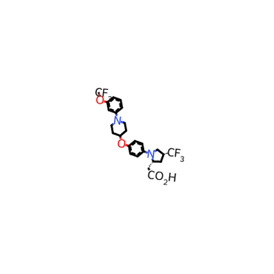 O=C(O)C[C@H]1C[C@@H](C(F)(F)F)CN1c1ccc(OC2CCN(c3cccc(OC(F)(F)F)c3)CC2)cc1